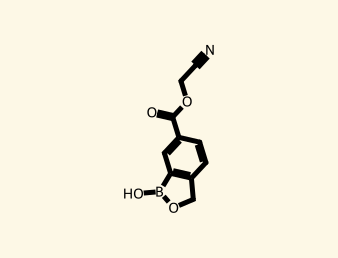 N#CCOC(=O)c1ccc2c(c1)B(O)OC2